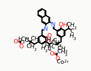 CC(=O)[O-].CC(=O)[O-].CC(C)c1cc(CC(C)(C)C)cc(C=Nc2cc3ccccc3cc2N=Cc2cc(CC(C)(C)C)cc(C(C)C)c2O)c1O.[Co+2]